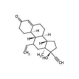 C#C[C@@]1(O)CC[C@H]2[C@@H]3CCC4=CC(=O)CC[C@@H]4[C@H]3C(C=C)C[C@@]21C